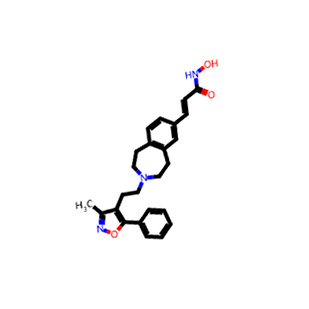 Cc1noc(-c2ccccc2)c1CCN1CCc2ccc(/C=C/C(=O)NO)cc2CC1